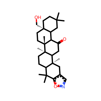 CC1(C)CC[C@]2(CO)CC[C@]3(C)C(C(=O)CC4[C@@]5(C)Cc6cnoc6C(C)(C)C5CC[C@]43C)C2C1